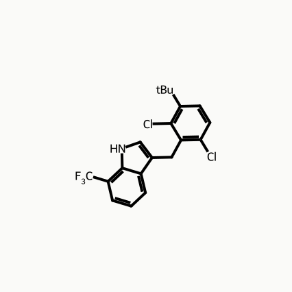 CC(C)(C)c1ccc(Cl)c(Cc2c[nH]c3c(C(F)(F)F)cccc23)c1Cl